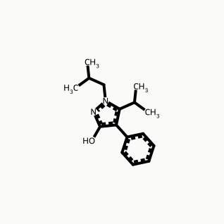 CC(C)Cn1nc(O)c(-c2ccccc2)c1C(C)C